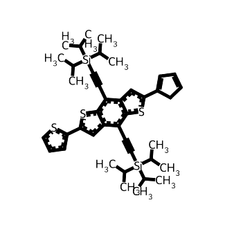 CC(C)[Si](C#Cc1c2cc(-c3cccs3)sc2c(C#C[Si](C(C)C)(C(C)C)C(C)C)c2cc(C3=CC=CC3)sc12)(C(C)C)C(C)C